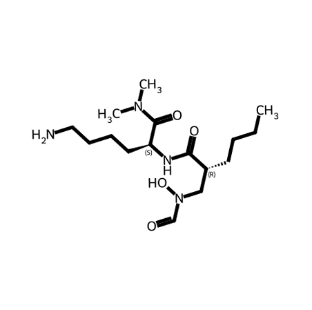 CCCC[C@H](CN(O)C=O)C(=O)N[C@@H](CCCCN)C(=O)N(C)C